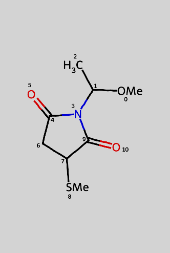 COC(C)N1C(=O)CC(SC)C1=O